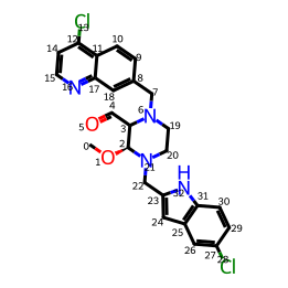 CO[C@H]1C(C=O)N(Cc2ccc3c(Cl)ccnc3c2)CCN1Cc1cc2cc(Cl)ccc2[nH]1